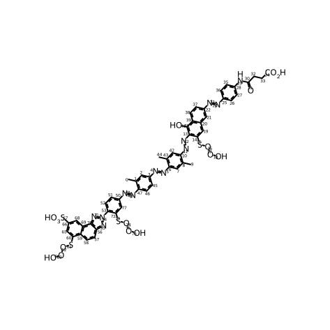 Cc1cc(N=Nc2cc(C)c(N=Nc3c(SOOO)cc4cc(N=Nc5ccc(NC(=O)CCC(=O)O)cc5)ccc4c3O)cc2C)ccc1N=Nc1ccc(-n2nc3ccc4c(SOOO)cc(S(=O)(=O)O)cc4c3n2)c(SOOO)c1